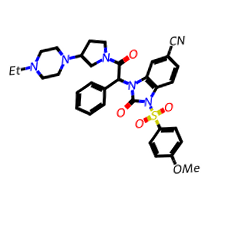 CCN1CCN(C2CCN(C(=O)C(c3ccccc3)n3c(=O)n(S(=O)(=O)c4ccc(OC)cc4)c4ccc(C#N)cc43)C2)CC1